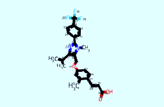 Cc1cc(OCc2c(C(C)C)nc(-c3ccc(C(F)(F)F)cc3)n2C)ccc1CCC(=O)O